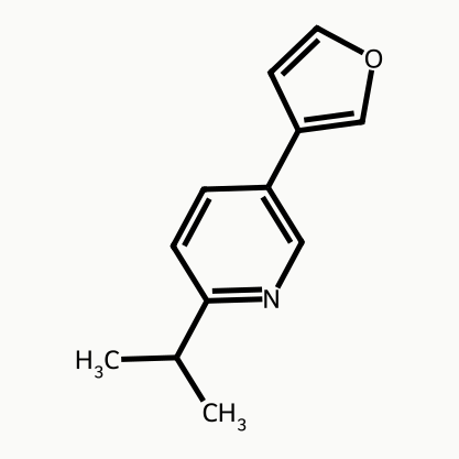 CC(C)c1ccc(-c2ccoc2)cn1